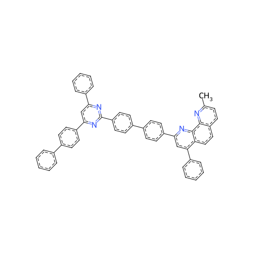 Cc1ccc2ccc3c(-c4ccccc4)cc(-c4ccc(-c5ccc(-c6nc(-c7ccccc7)cc(-c7ccc(-c8ccccc8)cc7)n6)cc5)cc4)nc3c2n1